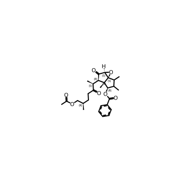 CC(=O)OC[C@H](C)CCC(=O)[C@@H](C)[C@H]1C(=O)[C@H]2O[C@]23C(C)C(C)[C@@H](OC(=O)c2ccccc2)[C@]13C